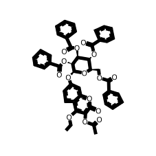 CCOc1c(OC(C)=O)c(=O)oc2cc(O[C@@H]3O[C@H](COC(=O)c4ccccc4)[C@@H](OC(=O)c4ccccc4)[C@H](OC(=O)c4ccccc4)[C@H]3OC(=O)c3ccccc3)ccc12